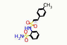 Cc1ccc(/C=C/S(=O)(=O)Nc2ccccc2S(N)(=O)=O)cc1